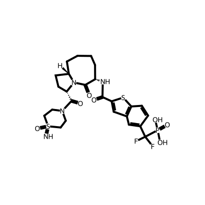 N=S1(=O)CCN(C(=O)[C@@H]2CC[C@@H]3CCCC[C@H](NC(=O)c4cc5cc(C(F)(F)P(=O)(O)O)ccc5s4)C(=O)N32)CC1